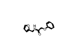 O=C(COc1ccccc1)NCc1ccco1